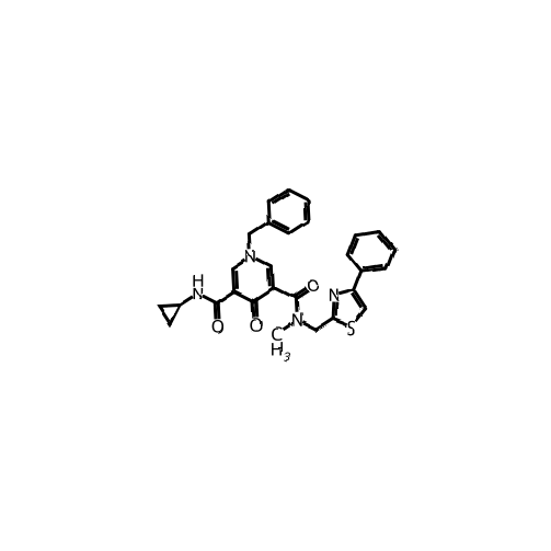 CN(Cc1nc(-c2ccccc2)cs1)C(=O)c1cn(Cc2ccccc2)cc(C(=O)NC2CC2)c1=O